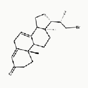 C[C@H](CBr)[C@H]1CCC2C3=CCC4=CC(=O)CC[C@@]4(C)C3CC[C@@]21C